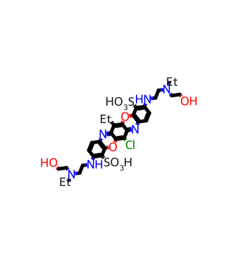 CCc1c2c(c(Cl)c3c1=Nc1ccc(NCCN(CC)CCO)c(S(=O)(=O)O)c1O3)=Nc1ccc(NCCN(CC)CCO)c(S(=O)(=O)O)c1O2